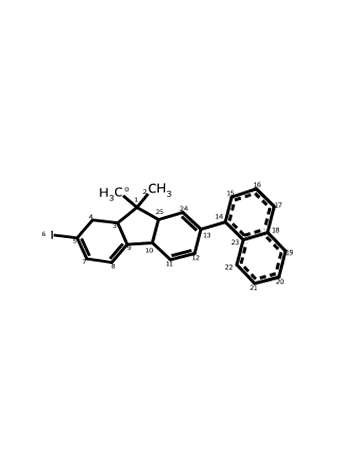 CC1(C)C2CC(I)=CC=C2C2C=CC(c3cccc4ccccc34)=CC21